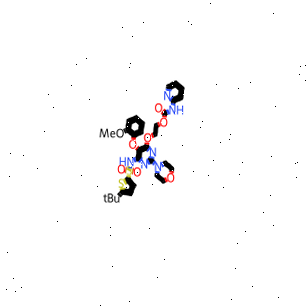 COc1ccccc1Oc1c(NS(=O)(=O)c2ccc(C(C)(C)C)s2)nc(N2CCOCC2)nc1OCCOC(=O)Nc1ccccn1